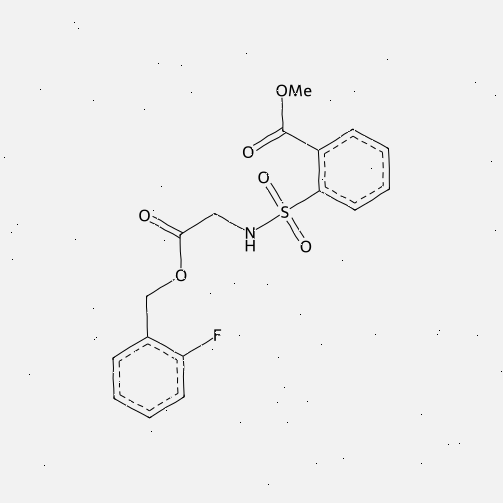 COC(=O)c1ccccc1S(=O)(=O)NCC(=O)OCc1ccccc1F